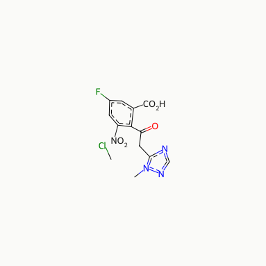 CCl.Cn1ncnc1CC(=O)c1c(C(=O)O)cc(F)cc1[N+](=O)[O-]